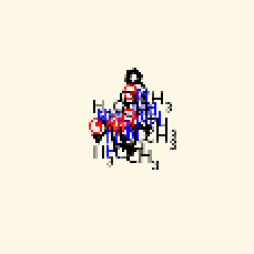 CN(Cc1ccccc1)C(=O)[C@@H](NC(=O)N[C@H](C(=O)N1C[C@H]2[C@@H]([C@H]1C(=O)NC(C(=O)C(N)=O)C1CC1)C2(C)C)C(C)(C)C)C(C)(C)C